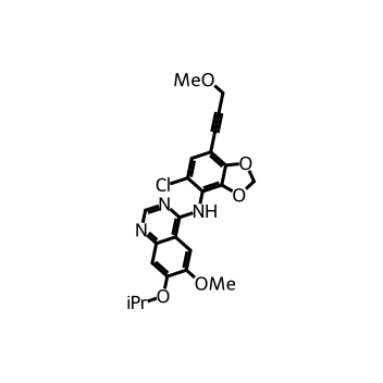 COCC#Cc1cc(Cl)c(Nc2ncnc3cc(OC(C)C)c(OC)cc23)c2c1OCO2